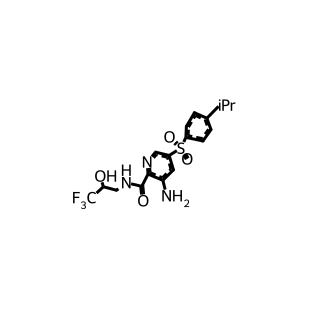 CC(C)c1ccc(S(=O)(=O)c2cnc(C(=O)NCC(O)C(F)(F)F)c(N)c2)cc1